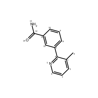 Cc1cccnc1-c1cccc(C(N)=O)c1